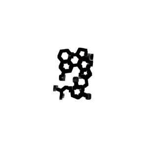 O=c1ccn(CC(F)F)c(=O)n1Cc1cc2nccc(-c3cc(Cl)cc4c3N(C3CCNC3)CCC4)c2s1